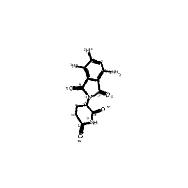 [2H]c1cc(N)c2c(c1[2H])C(=O)N(C1CCC(=O)NC1=O)C2=O